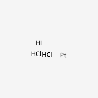 Cl.Cl.I.[Pt]